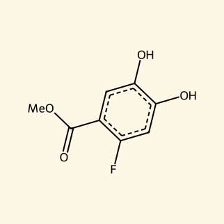 COC(=O)c1cc(O)c(O)cc1F